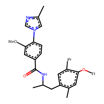 CCOc1cc(C)c(CC(C)NC(=O)c2ccc(-n3cnc(C)c3)c(OC)c2)cc1C(C)C